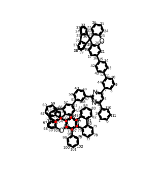 c1ccc(-c2cc(-c3cccc(-c4ccc(-c5ccc6c(c5)Oc5ccccc5C65c6ccccc6-c6ccccc65)cc4)c3)nc(-c3cccc(-c4ccc5c(c4)-c4ccccc4C54c5ccccc5Oc5cc(-c6ccccc6-c6ccccc6-c6cc(-c7ccccc7)nc(-c7ccccc7)n6)ccc54)c3)n2)cc1